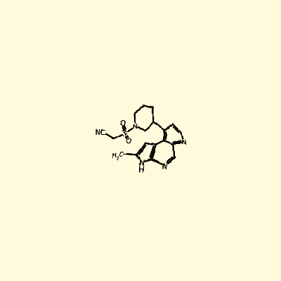 Cc1cc2c(ncc3nccc(C4CCCN(S(=O)(=O)CC#N)C4)c32)[nH]1